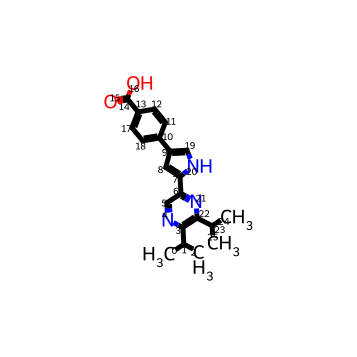 CC(C)c1ncc(-c2cc(-c3ccc(C(=O)O)cc3)c[nH]2)nc1C(C)C